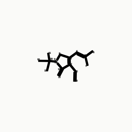 C=CC1=C(C=C(C)C)CN(C(C)(C)C)C1=C